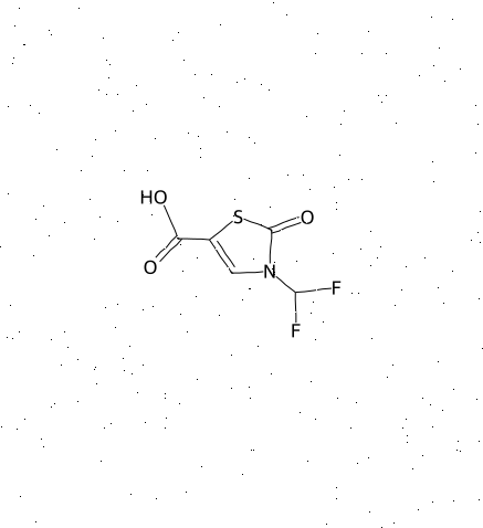 O=C(O)c1cn(C(F)F)c(=O)s1